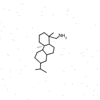 CC(C)C1CCC2C(CCC3C(C)(CN)CCC[C@]23C)C1